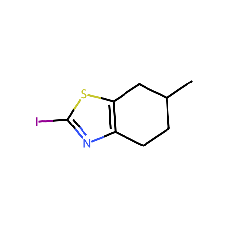 CC1CCc2nc(I)sc2C1